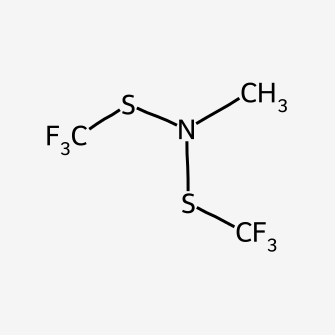 CN(SC(F)(F)F)SC(F)(F)F